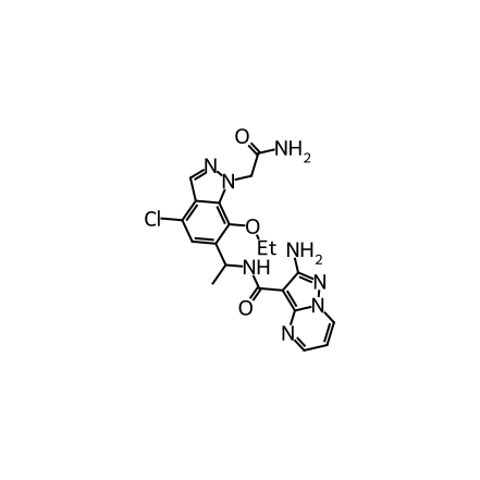 CCOc1c(C(C)NC(=O)c2c(N)nn3cccnc23)cc(Cl)c2cnn(CC(N)=O)c12